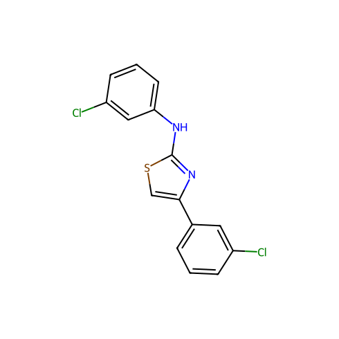 Clc1cccc(Nc2nc(-c3cccc(Cl)c3)cs2)c1